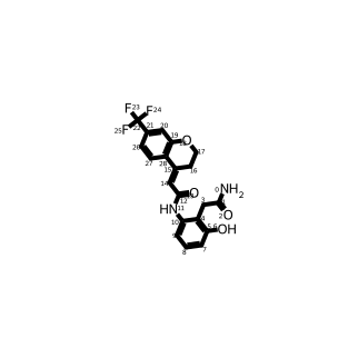 NC(=O)Cc1c(O)cccc1NC(=O)/C=C1\CCOc2cc(C(F)(F)F)ccc21